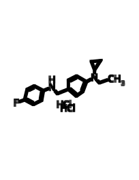 CCN(c1ccc(CNc2ccc(F)cc2)cc1)C1CC1.Cl.Cl